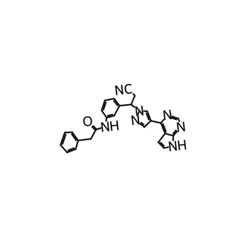 N#CCC(c1cccc(NC(=O)Cc2ccccc2)c1)n1cc(-c2ncnc3[nH]ccc23)cn1